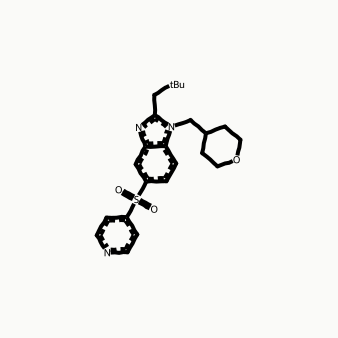 CC(C)(C)Cc1nc2cc(S(=O)(=O)c3ccncc3)ccc2n1CC1CCOCC1